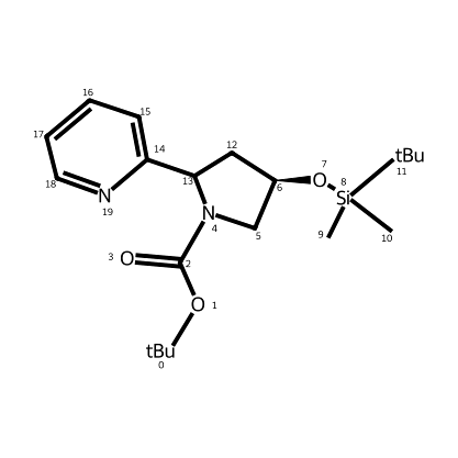 CC(C)(C)OC(=O)N1C[C@H](O[Si](C)(C)C(C)(C)C)CC1c1ccccn1